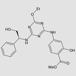 CCOc1nc(Nc2ccc(C(=O)OC)c(O)c2)nc(N[C@H](CO)c2ccccc2)n1